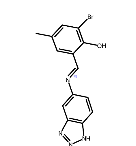 Cc1cc(Br)c(O)c(/C=N/c2ccc3[nH]nnc3c2)c1